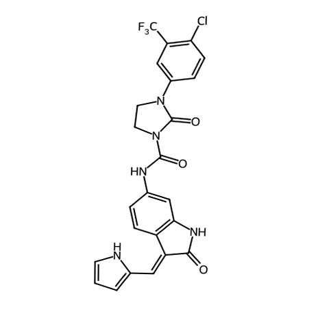 O=C1Nc2cc(NC(=O)N3CCN(c4ccc(Cl)c(C(F)(F)F)c4)C3=O)ccc2C1=Cc1ccc[nH]1